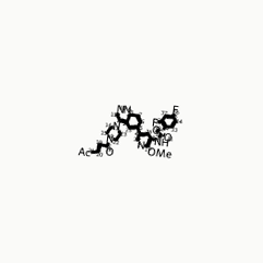 COc1ncc(-c2ccc3nncc(N4CCN(C(=O)C=CC(C)=O)CC4)c3c2)cc1NS(=O)(=O)c1ccc(F)cc1F